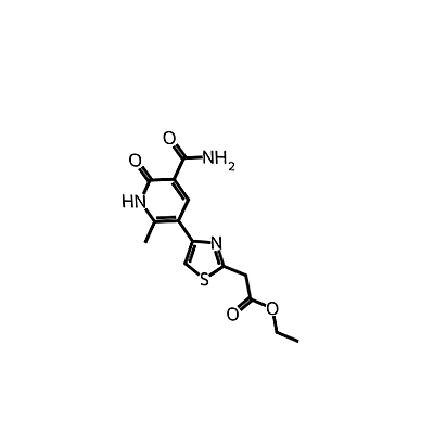 CCOC(=O)Cc1nc(-c2cc(C(N)=O)c(=O)[nH]c2C)cs1